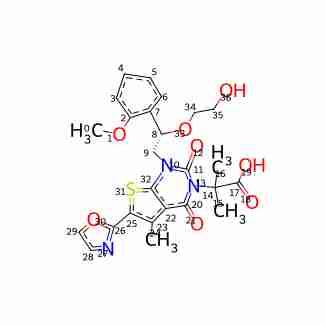 COc1ccccc1[C@@H](Cn1c(=O)n(C(C)(C)C(=O)O)c(=O)c2c(C)c(-c3ncco3)sc21)OCCO